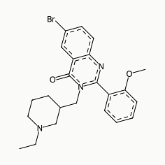 CCN1CCCC(Cn2c(-c3ccccc3OC)nc3ccc(Br)cc3c2=O)C1